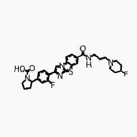 O=C(NCCCN1CCC(F)CC1)c1ccc2c(c1)sc1nc(-c3ccc(C4CCCN4C(=O)O)cc3F)cn12